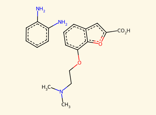 CN(C)CCOc1cccc2cc(C(=O)O)oc12.Nc1ccccc1N